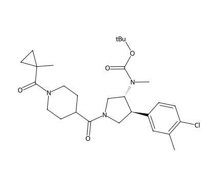 Cc1cc([C@H]2CN(C(=O)C3CCN(C(=O)C4(C)CC4)CC3)C[C@@H]2N(C)C(=O)OC(C)(C)C)ccc1Cl